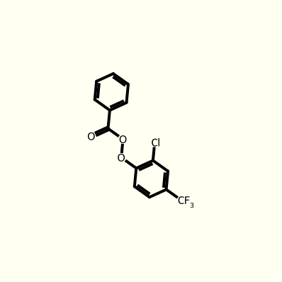 O=C(OOc1ccc(C(F)(F)F)cc1Cl)c1ccccc1